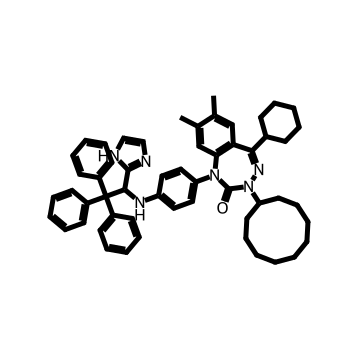 Cc1cc2c(cc1C)N(c1ccc(NC(c3ncc[nH]3)C(c3ccccc3)(c3ccccc3)c3ccccc3)cc1)C(=O)N(C1CCCCCCCCC1)N=C2C1CCCCC1